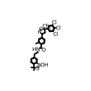 Cc1cc(C2=NOC(c3cc(Cl)c(Cl)c(Cl)c3)(C(F)(F)F)C2)ccc1C(=O)NCCc1ccc2c(c1)B(O)OC2(C)C